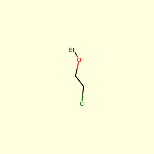 [CH2]COCCCl